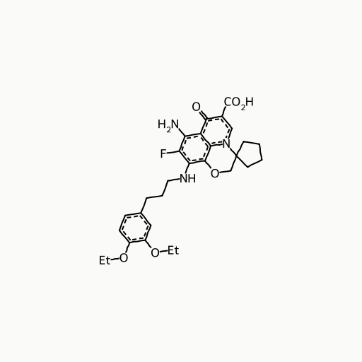 CCOc1ccc(CCCNc2c(F)c(N)c3c(=O)c(C(=O)O)cn4c3c2OCC42CCCC2)cc1OCC